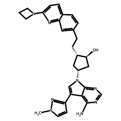 Cn1ccc(-c2cn([C@@H]3C[C@H](CCc4ccc5ccc(N6CCC6)nc5c4)[C@@H](O)C3)c3ncnc(N)c23)n1